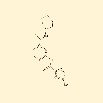 O=C(NC1CCCCC1)c1cccc(NC(=O)c2ccc([N+](=O)[O-])o2)c1